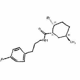 CC(C)[C@@H]1CC[C@@H](C)C[C@H]1C(=O)NCCc1ccc(F)cc1